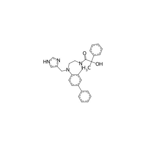 CC(O)(C(=O)N1CCN(Cc2c[nH]cn2)c2ccc(-c3ccccc3)cc2C1)c1ccccc1